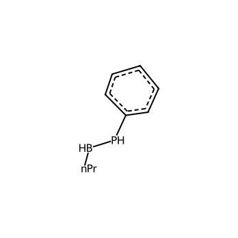 CCCBPc1ccccc1